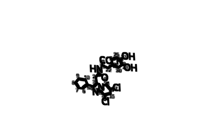 O=C(Cc1c(-c2ccccc2)nc2c(Cl)cc(Cl)cn12)NC(Cc1ccc(O)c(O)c1)C(=O)O